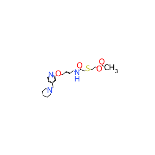 CC(=O)OCCSCC(=O)NCC=CCOc1cc(CN2CCCCC2)ccn1